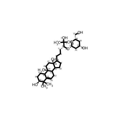 CC(C)(O)[C@@H](CCCC1CCC2C3CC=C4C(CC[C@H](O)C4(C)C)[C@]3(C)CC[C@]12C)O[C@H]1C[C@@H](O)C[C@@H](CO)O1